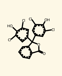 O=C1OC(c2cc(Cl)c(O)c(Cl)c2)(c2cc(Cl)c(O)c(Cl)c2)c2ccccc21